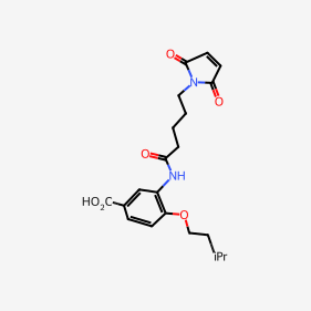 CC(C)CCOc1ccc(C(=O)O)cc1NC(=O)CCCCN1C(=O)C=CC1=O